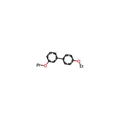 CCOc1ccc(-c2[c]ccc(OC(C)C)c2)cc1